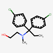 CCC(c1ccc(Cl)cc1)(c1ccc(Cl)cc1)N(C)CCO